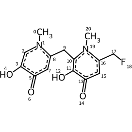 Cn1cc(O)c(=O)cc1Cc1c(O)c(=O)cc(CF)n1C